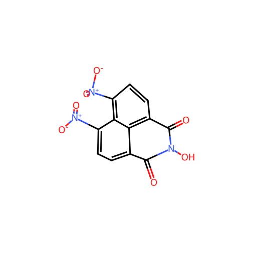 O=C1c2ccc([N+](=O)[O-])c3c([N+](=O)[O-])ccc(c23)C(=O)N1O